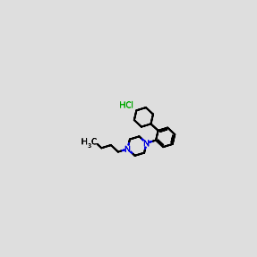 CCCCN1CCN(c2ccccc2C2CCCCC2)CC1.Cl